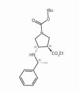 CCOC(=O)[C@@H]1CN(C(=O)OC(C)(C)C)C[C@H]1N[C@H](C)c1ccccc1